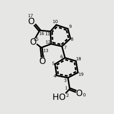 O=C(O)c1ccc(-c2cccc3c2C(=O)OC3=O)cc1